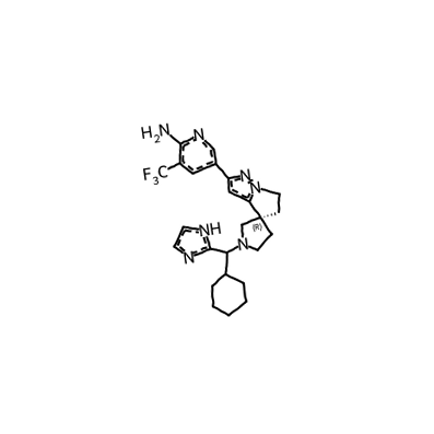 Nc1ncc(-c2cc3n(n2)CC[C@@]32CCN(C(c3ncc[nH]3)C3CCCCC3)C2)cc1C(F)(F)F